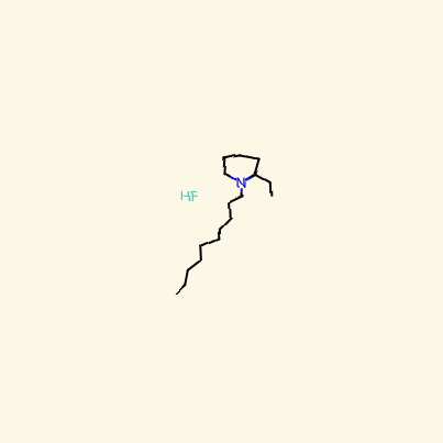 CCCCCCCCCCN1CCCCC1CC.F